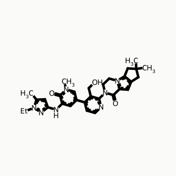 CCn1nc(Nc2cc(-c3ccnc(N4CCn5c(cc6c5CC(C)(C)C6)C4=O)c3CO)cn(C)c2=O)cc1C